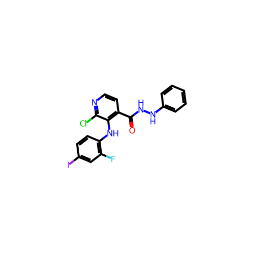 O=C(NNc1ccccc1)c1ccnc(Cl)c1Nc1ccc(I)cc1F